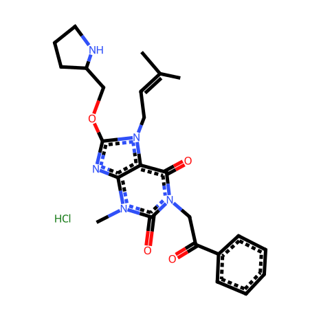 CC(C)=CCn1c(OCC2CCCN2)nc2c1c(=O)n(CC(=O)c1ccccc1)c(=O)n2C.Cl